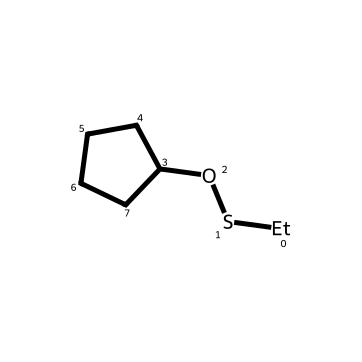 CCSOC1CCCC1